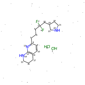 Cl.Cl.FC(F)(CCCc1ccc2c(n1)NCCC2)CC1CCNC1